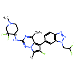 [2H]c1c(F)c(-c2ccc3nnn(CC(F)F)c3c2)c2c(OC)nc(N[C@@H]3CCN(C)CC3(F)F)nn12